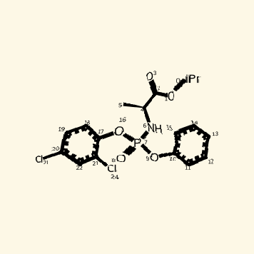 CC(C)OC(=O)[C@H](C)NP(=O)(Oc1ccccc1)Oc1ccc(Cl)cc1Cl